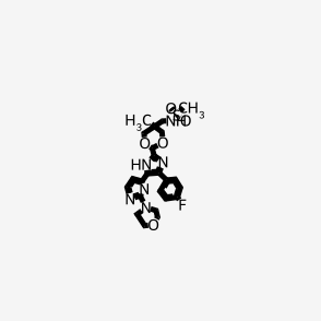 CC1(CNS(C)(=O)=O)COC(c2nc(-c3ccc(F)cc3)c(-c3ccnc(N4CCOCC4)n3)[nH]2)OC1